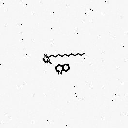 CCCCCCCCCCCc1nccn1C.c1ccc2ncccc2c1